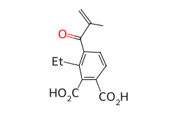 C=C(C)C(=O)c1ccc(C(=O)O)c(C(=O)O)c1CC